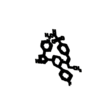 CCC(=Cc1ccc(S(=O)(=O)NC)cc1)N1CC=C(c2c[nH]cc2-c2ccncc2)CC1c1ccc(F)cc1